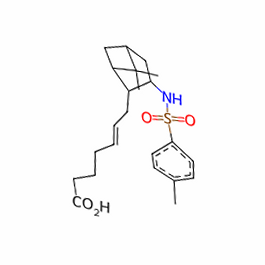 Cc1ccc(S(=O)(=O)NC2CC3CC(C2CC=CCCCC(=O)O)C3(C)C)cc1